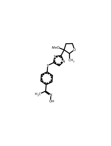 COC1(c2ncc(Sc3ccc(C(C)=NO)cc3)s2)CCOC1C